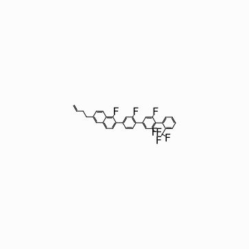 C=CCCc1ccc2c(F)c(-c3ccc(-c4cc(F)c(-c5ccccc5C(F)(F)F)c(F)c4)c(F)c3)ccc2c1